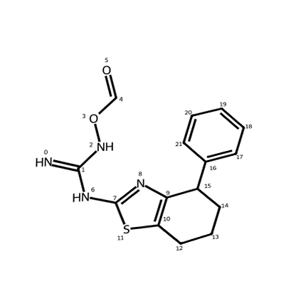 N=C(NOC=O)Nc1nc2c(s1)CCCC2c1ccccc1